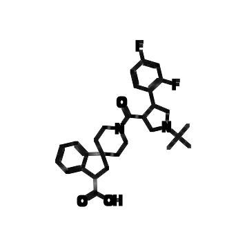 CC(C)(C)N1CC(C(=O)N2CCC3(CC2)CC(C(=O)O)c2ccccc23)C(c2ccc(F)cc2F)C1